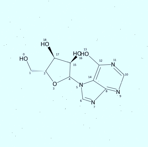 OC[C@H]1OC(n2cnc3ncnc(O)c32)[C@H](O)[C@@H]1O